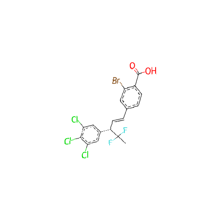 CC(F)(F)C(C=Cc1ccc(C(=O)O)c(Br)c1)c1cc(Cl)c(Cl)c(Cl)c1